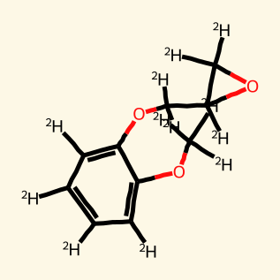 [2H]c1c([2H])c([2H])c(OC([2H])([2H])C2([2H])OC2([2H])[2H])c(OC([2H])([2H])[2H])c1[2H]